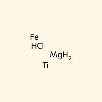 Cl.[Fe].[MgH2].[Ti]